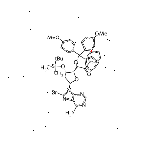 COc1ccc(C(OC(C(=O)c2ccccc2)[C@H]2O[C@@H](n3c(Br)nc4c(N)ncnc43)C[C@@H]2O[Si](C)(C)C(C)(C)C)(c2ccccc2)c2ccc(OC)cc2)cc1